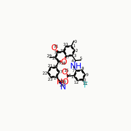 Cc1cc(C(C)Nc2ccc(F)cc2C(=O)O)c2oc(-c3cccc(C#N)c3)c(C)c(=O)c2c1